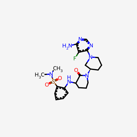 CN(C)S(=O)(=O)c1ccccc1NC1CCCN([C@@H]2CCCN(c3ncnc(N)c3F)C2)C1=O